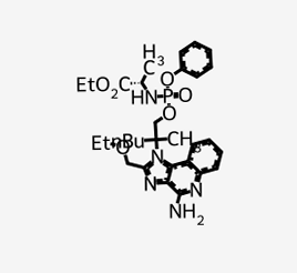 CCCCC(C)(COP(=O)(N[C@@H](C)C(=O)OCC)Oc1ccccc1)n1c(COCC)nc2c(N)nc3ccccc3c21